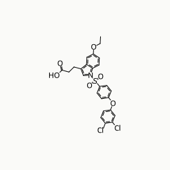 CCOc1ccc2c(c1)c(CCC(=O)O)cn2S(=O)(=O)c1ccc(Oc2ccc(Cl)c(Cl)c2)cc1